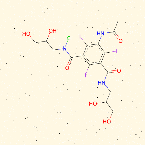 CC(=O)Nc1c(I)c(C(=O)NCC(O)CO)c(I)c(C(=O)N(Cl)CC(O)CO)c1I